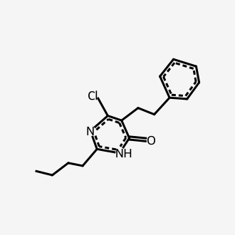 CCCCc1nc(Cl)c(CCc2ccccc2)c(=O)[nH]1